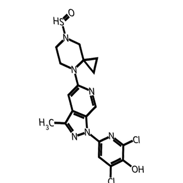 Cc1nn(-c2cc(Cl)c(O)c(Cl)n2)c2cnc(N3CCN([SH]=O)CC34CC4)cc12